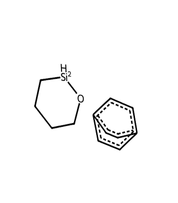 C1CC[SiH2]OC1.c1cc2ccc1cc2